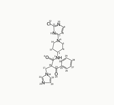 O=C(NC1CCN(c2ccnc(Cl)n2)CC1)C(Cn1ccnc1)C(=O)c1ccccc1